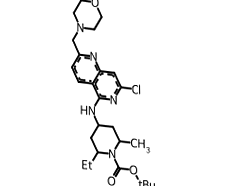 CCC1CC(Nc2nc(Cl)cc3nc(CN4CCOCC4)ccc23)CC(C)N1C(=O)OC(C)(C)C